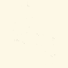 c1ccc(-c2cncc3[nH]c(-c4n[nH]c5ccc(C6CCNCC6)cc45)cc23)nc1